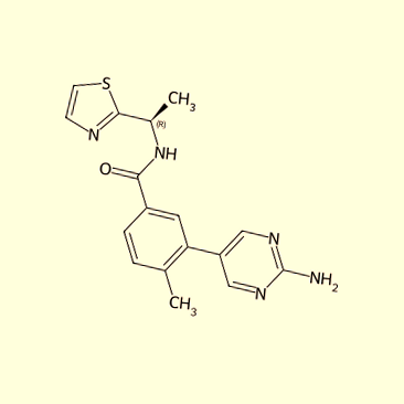 Cc1ccc(C(=O)N[C@H](C)c2nccs2)cc1-c1cnc(N)nc1